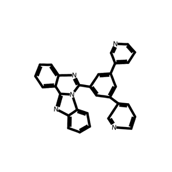 c1cncc(-c2cc(-c3cccnc3)cc(-c3nc4ccccc4c4nc5ccccc5n34)c2)c1